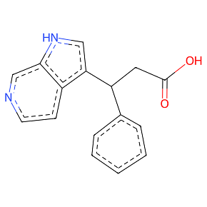 O=C(O)CC(c1ccccc1)c1c[nH]c2cnccc12